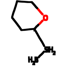 B[SiH2][C]1CCCCO1